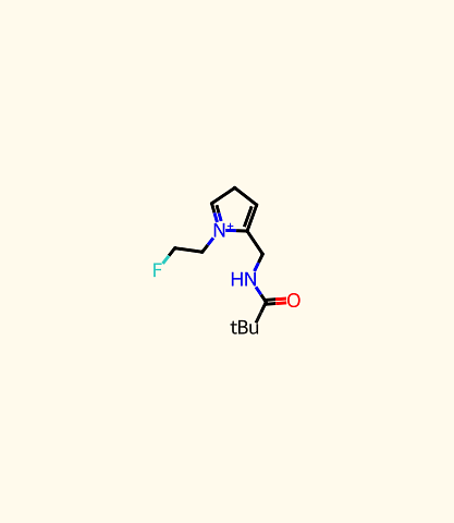 CC(C)(C)C(=O)NCC1=CCC=[N+]1CCF